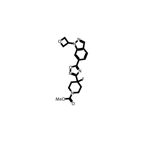 COC(=O)N1CCC(F)(c2noc(-c3ccc4cnn(C5COC5)c4c3)n2)CC1